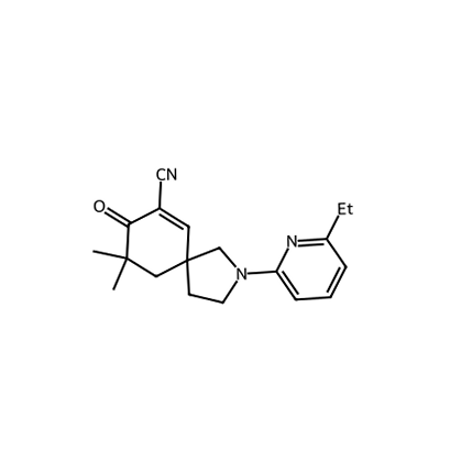 CCc1cccc(N2CCC3(C=C(C#N)C(=O)C(C)(C)C3)C2)n1